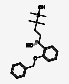 CC(C)(CC[C@@H](O)c1ccccc1OCc1ccccc1)[Si](C)(C)O